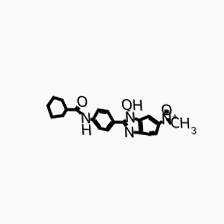 C[N+](=O)c1ccc2nc(-c3ccc(NC(=O)C4CCCCC4)cc3)n(O)c2c1